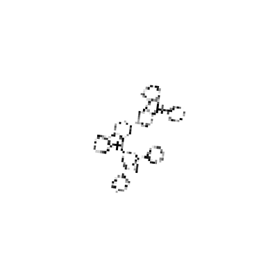 C1=CC(n2c3ccccc3c3cc(C4=Cc5c(c6ccccc6n5C5C=C(c6ccccc6)N=C(c6ccccc6)C5)CC4)ccc32)=CCC1